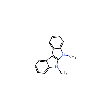 Cn1c2ccccc2c2c3ccccc3n(C)c21